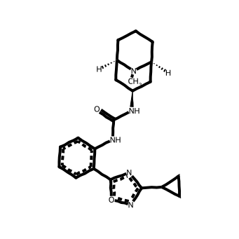 CN1[C@@H]2CCC[C@H]1C[C@@H](NC(=O)Nc1ccccc1-c1nc(C3CC3)no1)C2